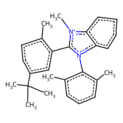 Cc1ccc(C(C)(C)C)cc1-c1n(-c2c(C)cccc2C)c2ccccc2[n+]1C